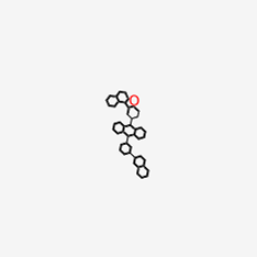 C1=c2oc3ccc4ccccc4c3c2=CC(c2c3ccccc3c(-c3cccc(-c4ccc5ccccc5c4)c3)c3ccccc23)C1